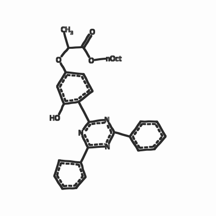 CCCCCCCCOC(=O)C(C)Oc1ccc(-c2nc(-c3ccccc3)nc(-c3ccccc3)n2)c(O)c1